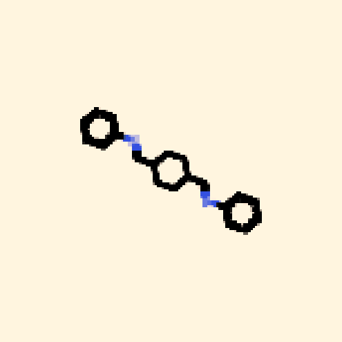 C(=N\c1ccccc1)/C1CCC(/C=N/c2ccccc2)CC1